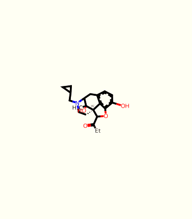 CCC(=O)C1Oc2c(O)ccc3c2[C@@]12CCN(CC1CC1)C(C3)C2(C)O